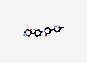 Cc1ccc(-c2ccn(-c3ccc4c5c(oc4c3)CCNC5)c(=O)c2)nn1